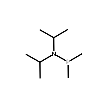 CC(C)N(C(C)C)P(C)C